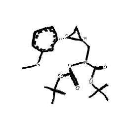 CSc1cccc([C@@H]2C[C@H]2CN(OC(=O)OC(C)(C)C)C(=O)OC(C)(C)C)c1